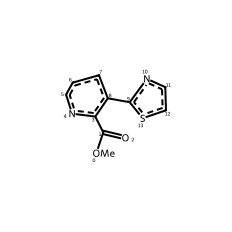 COC(=O)c1ncccc1-c1nccs1